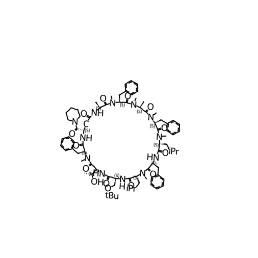 CC(C)C[C@H]1C(=O)N[C@@H](COC(C)(C)C)C(=O)N[C@@H]([C@@H](C)O)C(=O)N(C)[C@@H](Cc2ccccc2)C(=O)N[C@H](C(=O)N2CCCCC2)CC(=O)N[C@@H](C)C(=O)N(C)[C@@H](Cc2ccccc2)C(=O)N(C)[C@@H](C)C(=O)N(C)[C@@H](Cc2ccccc2)C(=O)N(C)[C@@H](CC(C)C)C(=O)N[C@@H](Cc2ccccc2)C(=O)N1C